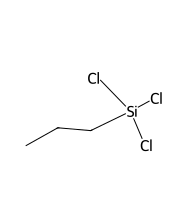 CCC[Si](Cl)(Cl)Cl